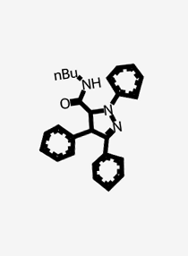 CCCCNC(=O)C1C(c2ccccc2)C(c2ccccc2)=NN1c1ccccc1